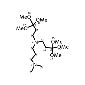 COC(CCN(CCCN(C)C)CCC(OC)(OC)OC)(OC)OC